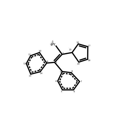 C[C](C)C(=C(c1ccccc1)c1ccccc1)C1C=CC=C1